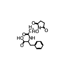 CC(=O)NC(Cc1ccccc1)C(=O)O.O=C1CCC(=O)N1O